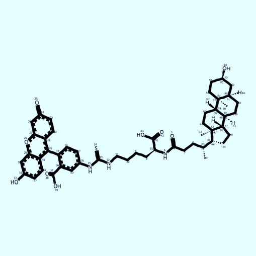 C[C@H](CCC(=O)N[C@@H](CCCCNC(=S)Nc1ccc(-c2c3ccc(=O)cc-3oc3cc(O)ccc23)c(C(=O)O)c1)C(=O)O)[C@H]1CC[C@H]2[C@@H]3CC[C@@H]4C[C@H](O)CC[C@]4(C)[C@H]3CC[C@]12C